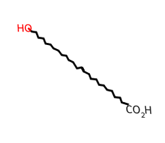 O=C(O)CCCCCCCCCCC/C=C/CCCCCCCCCCCCCO